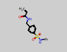 C=CC(=O)NCc1ccc(S(=O)(=O)NC(C)C)cc1